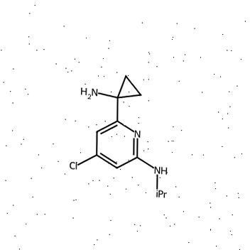 CC(C)Nc1cc(Cl)cc(C2(N)CC2)n1